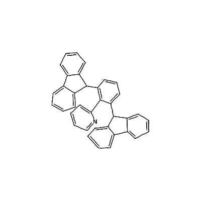 [c]1ccc(C2c3ccccc3-c3ccccc32)c(-c2ccccn2)c1C1c2ccccc2-c2ccccc21